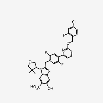 CC1(C)COCC1n1c(Cc2cc(F)c(-c3cccc(OCc4ccc(Cl)cc4F)n3)cc2F)nc2cc(O)c(C(=O)O)cc21